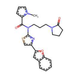 Cn1cccc1C(=O)N(CCCN1CCCC1=O)c1nc(-c2cc3ccccc3o2)cs1